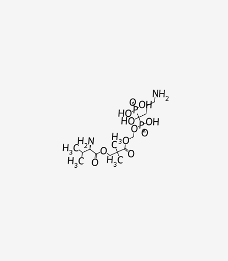 CC(C)[C@@H](N)C(=O)OCC(C)(C)C(=O)OCOP(=O)(O)C(O)(CCCN)P(=O)(O)O